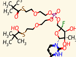 CC(C)(C)C(=O)SCCOCCOP(=O)(OCCOCCSC(O)C(C)(C)C)OC[C@@]1(F)O[C@@H](n2ccc(=O)[nH]c2=O)[C@](C)(O)[C@@H]1O